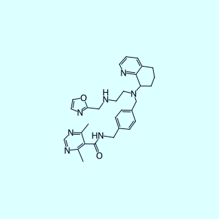 Cc1ncnc(C)c1C(=O)NCc1ccc(CN(CCNCc2ncco2)C2CCCc3cccnc32)cc1